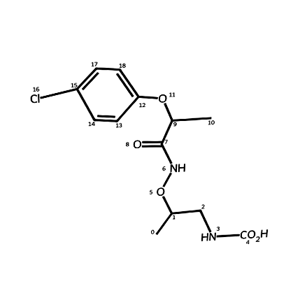 CC(CNC(=O)O)ONC(=O)C(C)Oc1ccc(Cl)cc1